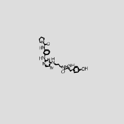 N[C@H](Cc1ccc(O)cc1)C(=O)NCCCNc1nc(Nc2cccc(NC(=O)N3CCCC3)c2)ncc1Br